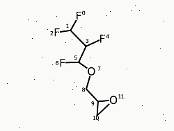 FC(F)C(F)C(F)OCC1CO1